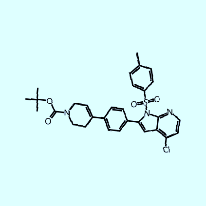 Cc1ccc(S(=O)(=O)n2c(-c3ccc(C4=CCN(C(=O)OC(C)(C)C)CC4)cc3)cc3c(Cl)ccnc32)cc1